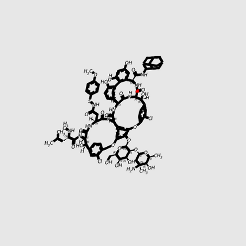 CN[C@@H](CC(C)C)C(=O)N[C@H]1C(=O)N[C@@H](CC(=O)NSc2ccc(OC)cc2)C(=O)N[C@H]2C(=O)N[C@@H]3C(=O)N[C@@H](C(=O)N[C@H](C(=O)NC4C5CC6CC(C5)CC4C6)c4cc(O)cc(O)c4-c4cc3ccc4O)[C@@H](O)c3ccc(c(Cl)c3)Oc3cc2cc(c3O[C@@H]2O[C@H](CO)[C@H](O)[C@H](O)[C@@H]2O[C@H]2C[C@](C)(N)[C@H](O)[C@H](C)O2)Oc2ccc(cc2Cl)[C@H]1O